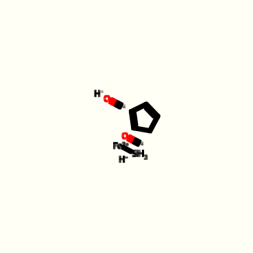 C1=CCC=C1.[C]=O.[C]=O.[H-].[H-].[SiH3][Fe+2]